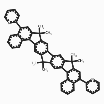 CC1(C)c2cc3c(cc2-c2cc4c(cc21)-c1c(cc(-c2ccccn2)c2ccccc12)C4(C)C)C(C)(C)c1cc(-c2ccccn2)c2ccccc2c1-3